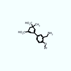 CC(C)Oc1ccc(C2=CC(C)(C(=O)O)CC(C(=O)O)=C2)cc1CN